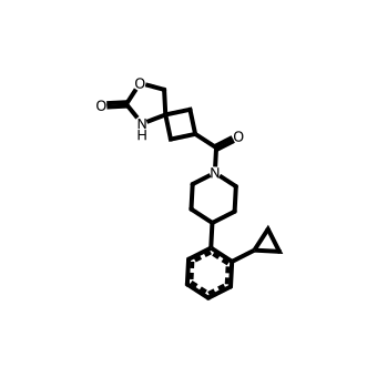 O=C1NC2(CO1)CC(C(=O)N1CCC(c3ccccc3C3CC3)CC1)C2